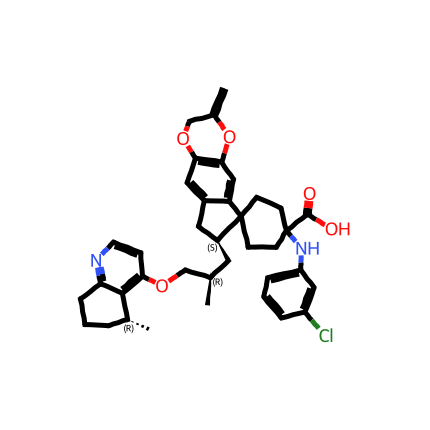 C=C1COc2cc3c(cc2O1)C1(CCC(Nc2cccc(Cl)c2)(C(=O)O)CC1)[C@@H](C[C@@H](C)COc1ccnc2c1[C@H](C)CCC2)C3